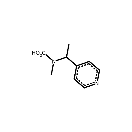 CC(c1ccncc1)N(C)C(=O)O